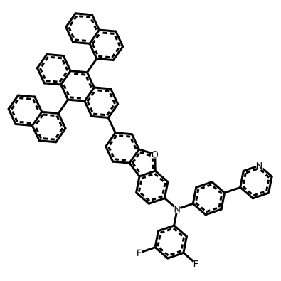 Fc1cc(F)cc(N(c2ccc(-c3cccnc3)cc2)c2ccc3c(c2)oc2cc(-c4ccc5c(-c6cccc7ccccc67)c6ccccc6c(-c6cccc7ccccc67)c5c4)ccc23)c1